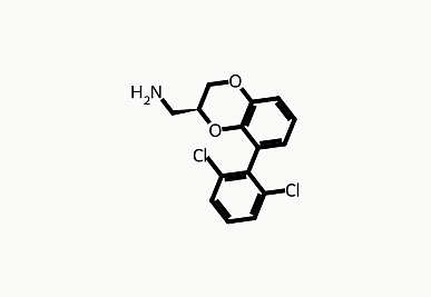 NC[C@H]1COc2cccc(-c3c(Cl)cccc3Cl)c2O1